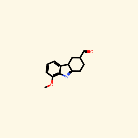 COc1cccc2c1N=C1CCC(C=O)CC12